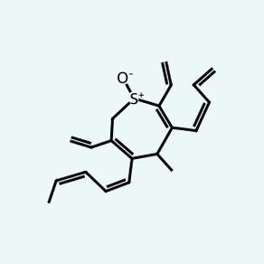 C=C/C=C\C1=C(C=C)[S+]([O-])CC(C=C)=C(/C=C\C=C/C)C1C